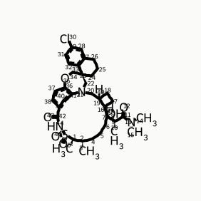 C[C@@H]1[C@@H](C)CCC[C@](O)([C@@H](C)C(=O)N(C)C)[C@@H]2CC[C@H]2CN2C[C@@]3(CCCc4cc(Cl)ccc43)COc3ccc(cc32)C(=O)NS1(=O)=O